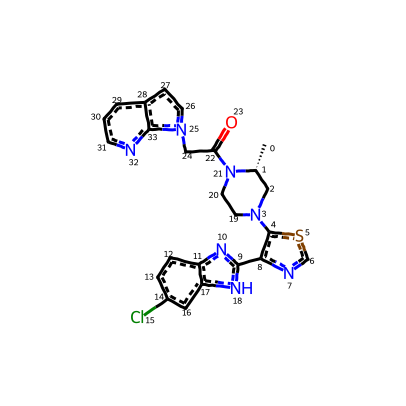 C[C@@H]1CN(c2scnc2-c2nc3ccc(Cl)cc3[nH]2)CCN1C(=O)Cn1ccc2cccnc21